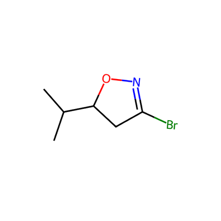 CC(C)C1CC(Br)=NO1